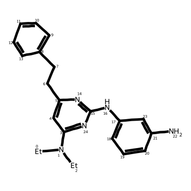 CCN(CC)c1cc(CCc2ccccc2)nc(Nc2cccc(N)c2)n1